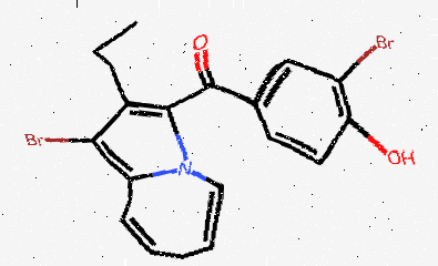 CCc1c(Br)c2ccccn2c1C(=O)c1ccc(O)c(Br)c1